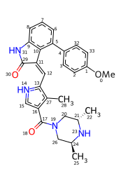 COc1ccc(-c2cccc3c2C(=Cc2[nH]cc(C(=O)N4C[C@H](C)N[C@@H](C)C4)c2C)C(=O)N3)cc1